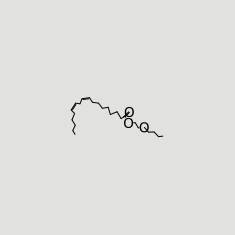 CCCCC/C=C\C/C=C\CCCCCCCC(=O)OCCOCCCC